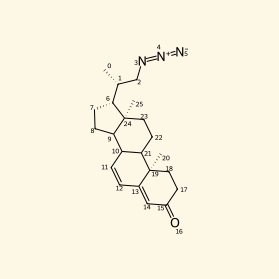 C[C@H](CN=[N+]=[N-])[C@H]1CCC2C3C=CC4=CC(=O)CC[C@]4(C)C3CC[C@@]21C